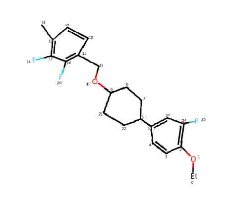 CCOc1ccc(C2CCC(OCc3ccc(C)c(F)c3F)CC2)cc1F